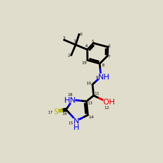 CC(C)(C)c1cccc(NCC(O)c2c[nH]c(=S)[nH]2)c1